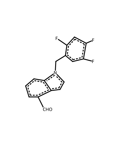 O=Cc1cccc2c1ccn2Cc1cc(F)c(F)cc1F